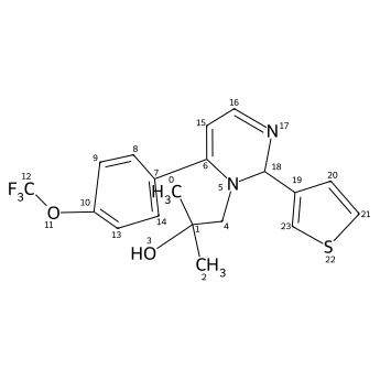 CC(C)(O)CN1C(c2ccc(OC(F)(F)F)cc2)=CC=NC1c1ccsc1